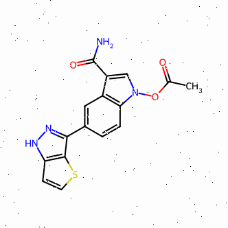 CC(=O)On1cc(C(N)=O)c2cc(-c3n[nH]c4ccsc34)ccc21